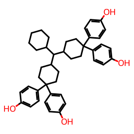 Oc1ccc(C2(c3ccc(O)cc3)CCC(C(C3CCCCC3)C3CCC(c4ccc(O)cc4)(c4ccc(O)cc4)CC3)CC2)cc1